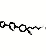 CCCCCC1(C#N)CCC(c2ccc(-c3cccs3)cn2)CC1